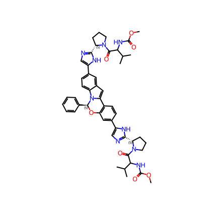 COC(=O)NC(C(=O)N1CCC[C@H]1c1ncc(-c2ccc3c(c2)O[C@@H](c2ccccc2)n2c-3cc3cc(-c4cnc([C@@H]5CCCN5C(=O)C(NC(=O)OC)C(C)C)[nH]4)ccc32)[nH]1)C(C)C